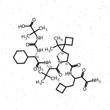 CC(C)(NC(=O)N[C@H](C(=O)N[C@H](C(=O)N1C[C@]2(C[C@H]1C(=O)NC(CC1CCC1)C(=O)C(N)=O)C(C)(C)C21CCC1)C(C)(C)C)C1CCCCC1)C(=O)O